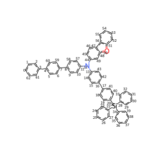 c1ccc(-c2ccc(-c3ccc(N(c4ccc(-c5ccc([Si](c6ccccc6)(c6ccccc6)c6ccccc6)cc5)cc4)c4ccc5c(c4)oc4ccccc45)cc3)cc2)cc1